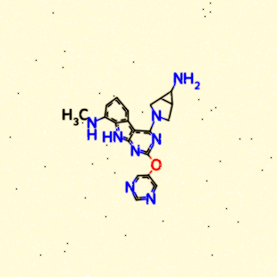 CNc1cccc2c1[nH]c1nc(Oc3cncnc3)nc(N3CC4C(N)C4C3)c12